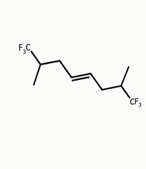 CC(CC=CCC(C)C(F)(F)F)C(F)(F)F